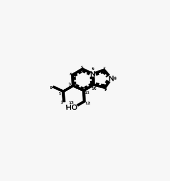 CC(C)c1ccn2cncc2c1CO